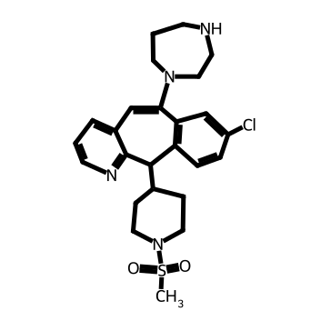 CS(=O)(=O)N1CCC(C2c3ccc(Cl)cc3C(N3CCCNCC3)=Cc3cccnc32)CC1